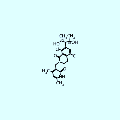 Cc1cc(C)c(CN2CCc3c(Cl)cc(C([C@H](C)O)[C@@H](C)O)c(Cl)c3C2=O)c(=O)[nH]1